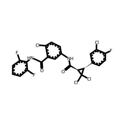 O=C(Nc1c(F)cccc1F)c1cc(NC(=O)[C@H]2[C@H](c3ccc(F)c(Cl)c3)C2(Cl)Cl)ccc1Cl